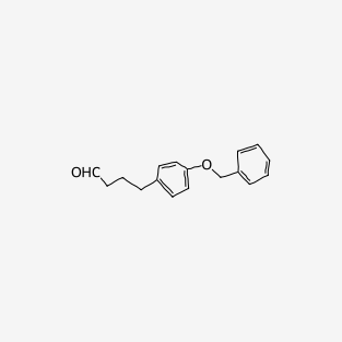 O=CCCCc1ccc(OCc2ccccc2)cc1